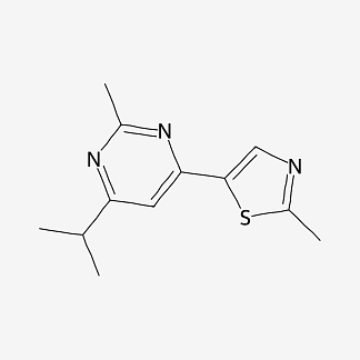 Cc1nc(-c2cnc(C)s2)cc(C(C)C)n1